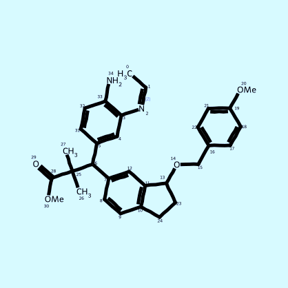 C/C=N\c1cc(C(c2ccc3c(c2)C(OCc2ccc(OC)cc2)CC3)C(C)(C)C(=O)OC)ccc1N